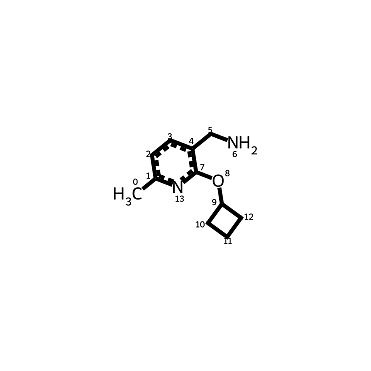 Cc1ccc(CN)c(OC2CCC2)n1